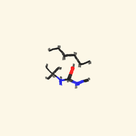 C=NC(=O)NC(C)(C)C.CCCCCC